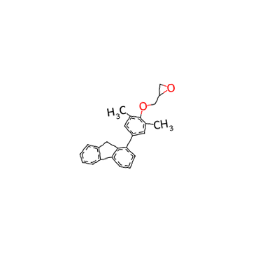 Cc1cc(-c2cccc3c2Cc2ccccc2-3)cc(C)c1OCC1CO1